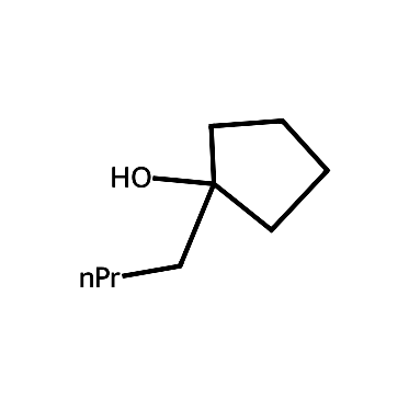 CCCCC1(O)CCCC1